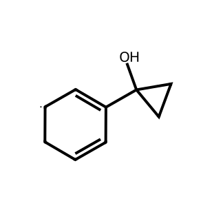 OC1(C2=C[CH]CC=C2)CC1